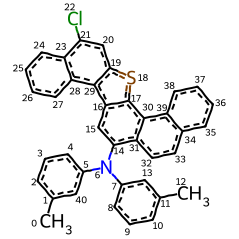 Cc1cccc(N(c2cccc(C)c2)c2cc3c(sc4cc(Cl)c5ccccc5c43)c3c2ccc2ccccc23)c1